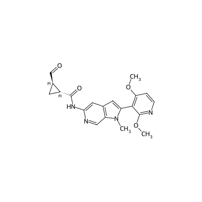 COc1ccnc(OC)c1-c1cc2cc(NC(=O)[C@@H]3C[C@H]3C=O)ncc2n1C